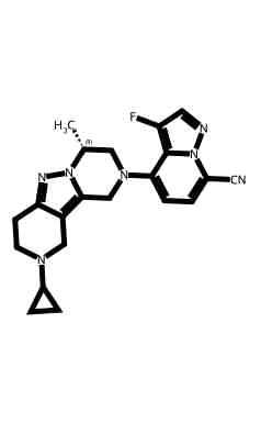 C[C@@H]1CN(c2ccc(C#N)n3ncc(F)c23)Cc2c3c(nn21)CCN(C1CC1)C3